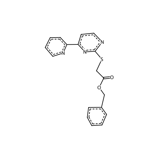 O=C(CSc1nccc(-c2ccccn2)n1)OCc1ccccc1